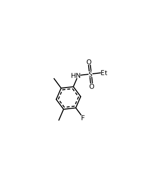 CCS(=O)(=O)Nc1cc(F)c(C)cc1C